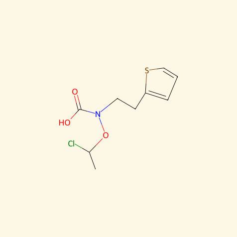 CC(Cl)ON(CCc1cccs1)C(=O)O